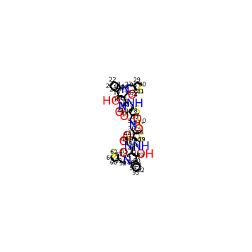 CS(=O)(=O)N(Cc1csc2c1S(=O)(=O)N=C(C1=C(O)C3C4C=CC(C4)C3N(Cc3ccsc3)C1=O)N2)Cc1csc2c1S(=O)(=O)N=C(C1=C(O)C3C4C=CC(C4)C3N(Cc3ccsc3)C1=O)N2